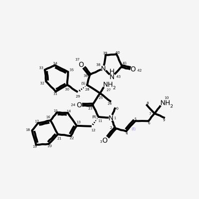 CN(C(=O)/C=C/CC(C)(C)N)[C@H](Cc1ccc2ccccc2c1)C(=O)C(C)(N)[C@H](Cc1ccccc1)C(=O)N1CCC(=O)N1